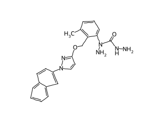 Cc1cccc(N(N)C(=O)NN)c1COc1ccn(-c2ccc3ccccc3c2)n1